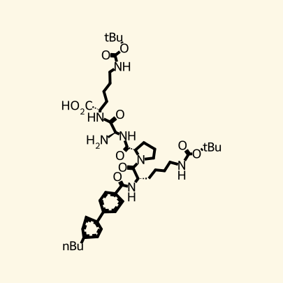 CCCCc1ccc(-c2ccc(C(=O)N[C@@H](CCCCNC(=O)OC(C)(C)C)C(=O)N3CCC[C@H]3C(=O)N[C@@H](N)C(=O)N[C@@H](CCCCNC(=O)OC(C)(C)C)C(=O)O)cc2)cc1